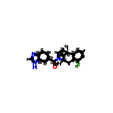 CC1(C)[C@H]2Cc3c(F)cccc3[C@]1(C)CCN2C(=O)c1ccc2nc[nH]c2c1